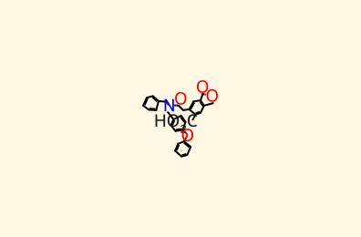 O=C(O)c1cc2c(cc1CC(=O)N(Cc1ccccc1)Cc1ccc(Oc3ccccc3)cc1)C(=O)OC2